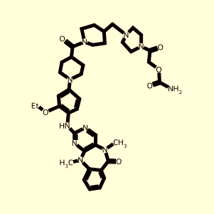 CCOc1cc(N2CCC(C(=O)N3CCC(CN4CCN(C(=O)COC(N)=O)CC4)CC3)CC2)ccc1Nc1ncc2c(n1)N(C)c1ccccc1C(=O)N2C